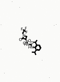 CC(C)c1cccc(C(C)C)c1NC(=O)NS(=O)(=O)C1CN(CC(F)(F)F)C1=O